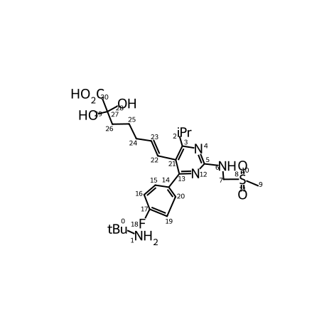 CC(C)(C)N.CC(C)c1nc(NCS(C)(=O)=O)nc(-c2ccc(F)cc2)c1C=CCCCC(O)(O)C(=O)O